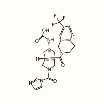 O=C(O)N[C@@H]1C[C@H]2CN(C(=O)n3ccnc3)C[C@@]2(C(=O)N2CCc3ncc(C(F)(F)F)cc3C2)C1